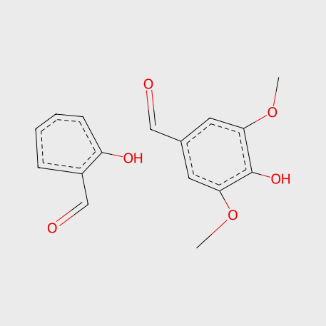 COc1cc(C=O)cc(OC)c1O.O=Cc1ccccc1O